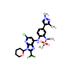 Cc1nn(C)cc1-c1ccc(Nc2cc(Cl)nc3c2nc(C(F)F)n3C2CCCCO2)c(N(C)S(C)(=O)=O)c1